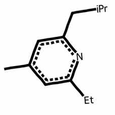 [CH2]Cc1cc(C)cc(CC(C)C)n1